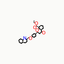 CCOC(=O)c1cccc2c(=O)cc(-c3ccc(OCc4ccc5ccccc5n4)cc3)oc12